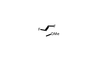 COC.FC=CF